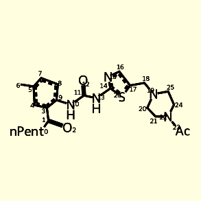 CCCCCC(=O)c1cc(C)ccc1NC(=O)Nc1ncc(CN2CCN(C(C)=O)CC2)s1